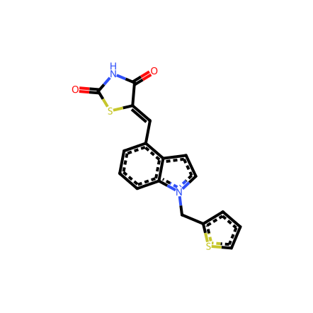 O=C1NC(=O)/C(=C/c2cccc3c2ccn3Cc2cccs2)S1